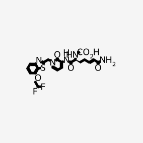 NC(=O)/C=C/CC[C@H](NC(=O)O)C(=O)Nc1cccn(Cc2nc3cccc(OCC(F)F)c3s2)c1=O